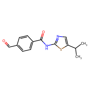 CC(C)c1cnc(NC(=O)c2ccc(C=O)cc2)s1